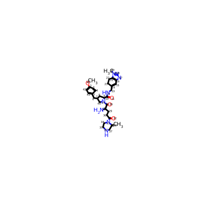 COc1ccc(CC2CC(C(=O)NCC3=Cc4nnn(C)c4CC3)N(C(=O)C(N)CCC(=O)N3CCNCC3C)C2)cc1